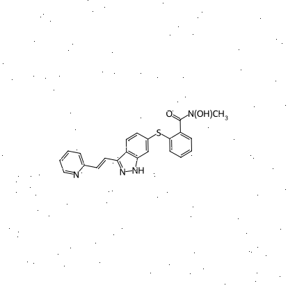 CN(O)C(=O)c1ccccc1Sc1ccc2c(/C=C/c3ccccn3)n[nH]c2c1